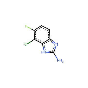 Nc1nc2ccc(F)c(Cl)c2[nH]1